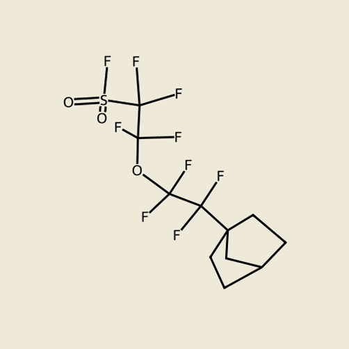 O=S(=O)(F)C(F)(F)C(F)(F)OC(F)(F)C(F)(F)C12CCC(CC1)C2